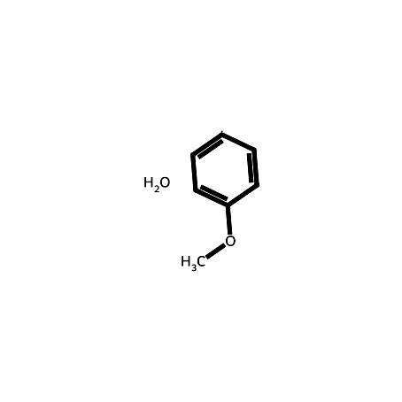 COc1cc[c]cc1.O